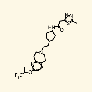 Cc1nnc(CC(=O)N[C@H]2CC[C@H](CCN3CCc4ccc(O[C@H](C)C(F)(F)F)nc4CC3)CC2)s1